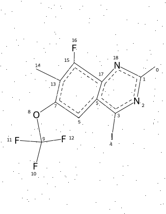 Cc1nc(I)c2cc(OC(F)(F)F)c(C)c(F)c2n1